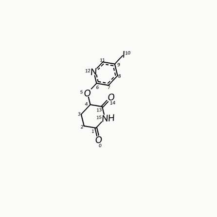 O=C1CCC(Oc2ccc(I)cn2)C(=O)N1